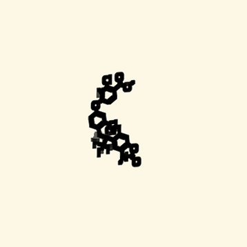 COC(=O)c1ccc(Oc2ccc([C@@H](C)[C@@](O)(c3ccc4oc(=O)n(C)c4c3)C(F)(F)F)c(Cl)c2)nc1Cl